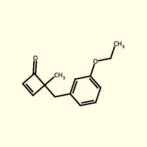 CCOc1cccc(CC2(C)C=CC2=O)c1